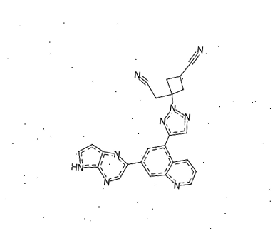 N#CCC1(n2ncc(-c3cc(-c4cnc5[nH]ccc5n4)cc4ncccc34)n2)CC(C#N)C1